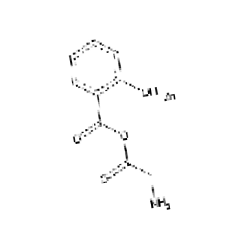 NCC(=O)OC(=O)c1ccccc1O.[Zn]